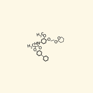 C=C(Oc1ccc(-c2ccccc2)cc1)C(=O)Nc1ccc(OCCOC2CCCCO2)c(OC)c1